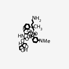 CNc1cccc(S(=O)(=O)N(C[C@@H](O)[C@H](Cc2ccccc2)NC(=O)O[C@H]2CO[C@H]3OCC[C@H]32)CC(C)(C)CCCN)c1